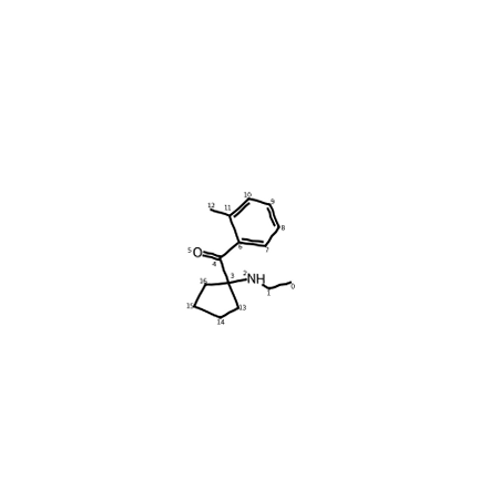 CCNC1(C(=O)c2ccccc2C)CCCC1